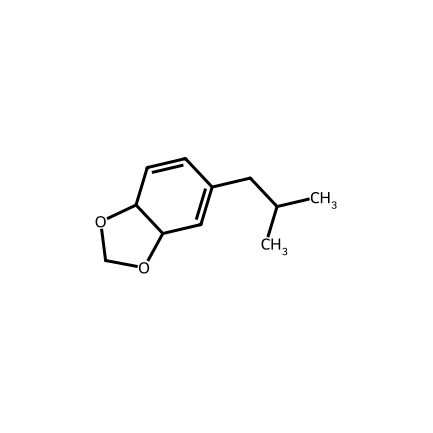 CC(C)CC1=CC2OCOC2C=C1